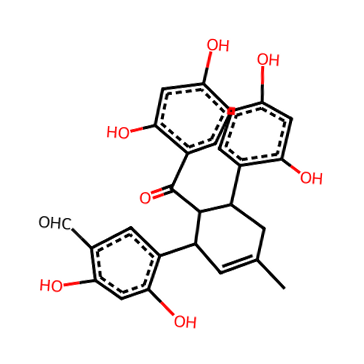 CC1=CC(c2cc(C=O)c(O)cc2O)C(C(=O)c2ccc(O)cc2O)C(c2ccc(O)cc2O)C1